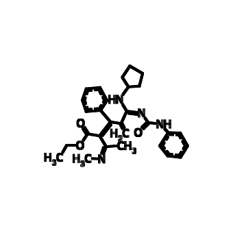 C=C(/C(=N\C(=O)Nc1ccccc1)NC1CCCC1)/C(=C(C(=O)OCC)\C(C)=N/C)c1ccccc1